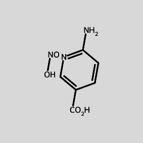 Nc1ccc(C(=O)O)cn1.O=NO